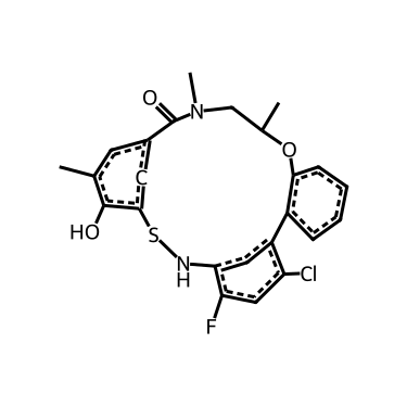 Cc1cc2cc(c1O)SNc1cc(c(Cl)cc1F)-c1ccccc1OC(C)CN(C)C2=O